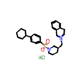 Cl.O=S(=O)(c1ccc(C2CCCCC2)cc1)N1CCCC(CN2CCc3ccccc3C2)C1